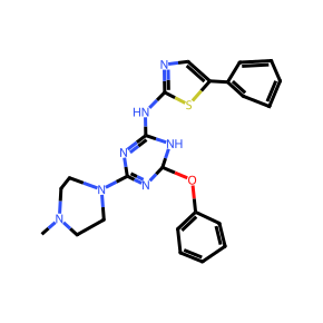 CN1CCN(C2=NC(Oc3ccccc3)NC(Nc3ncc(-c4ccccc4)s3)=N2)CC1